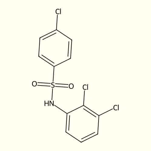 O=S(=O)(Nc1cccc(Cl)c1Cl)c1ccc(Cl)cc1